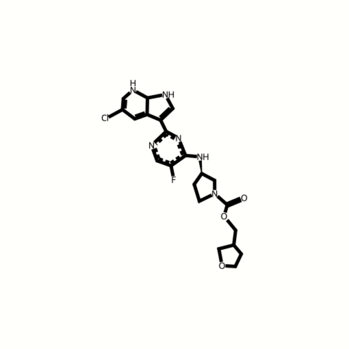 O=C(OCC1CCOC1)N1CC[C@@H](Nc2nc(C3=CNC4NC=C(Cl)C=C34)ncc2F)C1